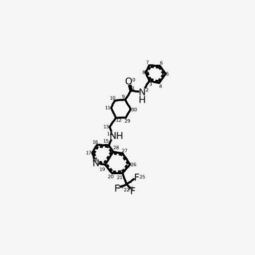 O=C(Nc1ccccc1)C1CCC(CNc2ccnc3cc(C(F)(F)F)ccc23)CC1